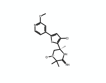 COc1cc(-c2cc(Cl)c([C@]3(C)C[S+]([O-])C(C)(C)C(=N)N3)s2)ccn1